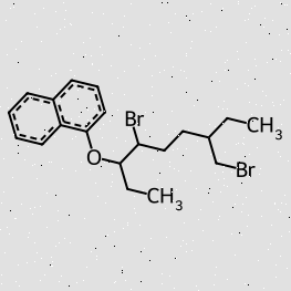 CCC(CBr)CCC(Br)C(CC)Oc1cccc2ccccc12